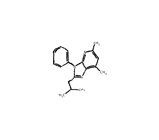 Cc1cc(C)c2nc(CC(C)C)n(-c3c[c]ccc3)c2n1